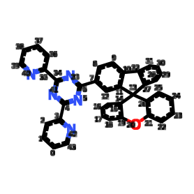 c1ccc(-c2nc(-c3ccc4c(c3)C3(c5ccccc5Oc5ccccc53)c3ccccc3-4)nc(-c3ccccn3)n2)nc1